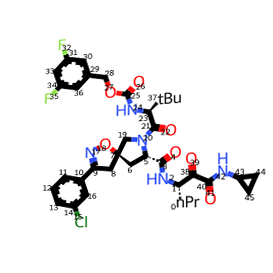 CCC[C@H](NC(=O)[C@@H]1C[C@]2(CC(c3cccc(Cl)c3)=NO2)CN1C(=O)[C@@H](NC(=O)OCc1cc(F)cc(F)c1)C(C)(C)C)C(=O)C(=O)NC1CC1